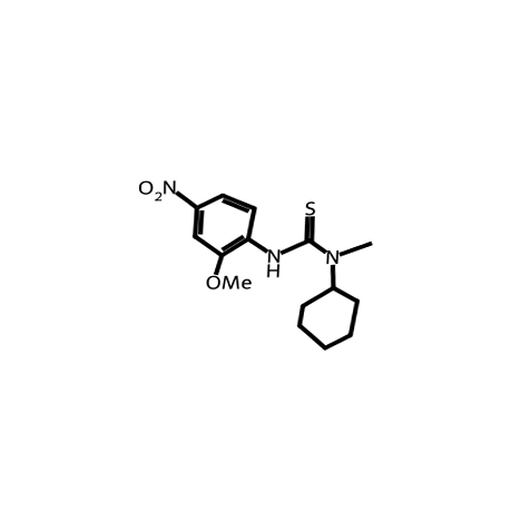 COc1cc([N+](=O)[O-])ccc1NC(=S)N(C)C1CCCCC1